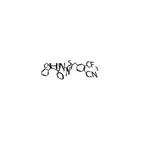 N#Cc1ccc(Cc2cnc(NC(=O)c3coc4ccccc34)s2)cc1C(F)(F)F